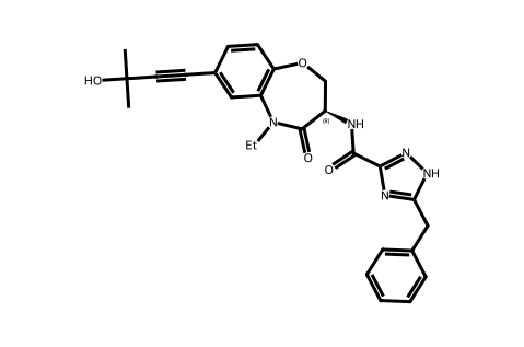 CCN1C(=O)[C@H](NC(=O)c2n[nH]c(Cc3ccccc3)n2)COc2ccc(C#CC(C)(C)O)cc21